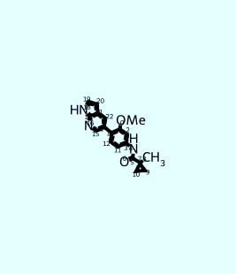 COc1cc(NC(=O)C2(C)CC2)ccc1-c1cnc2[nH]ccc2c1